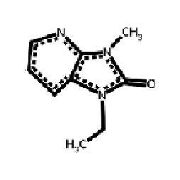 CCn1c(=O)n(C)c2nc[c]cc21